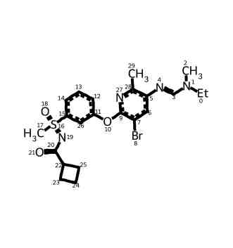 CCN(C)C=Nc1cc(Br)c(Oc2cccc(S(C)(=O)=NC(=O)C3CCC3)c2)nc1C